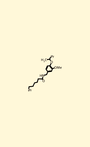 COc1cc(CNC(=O)CCCCCC(C)C)ccc1OC(C)C(C)C